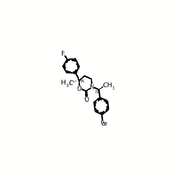 C[C@@H](c1ccc(Br)cc1)N1CC[C@](C)(c2ccc(F)cc2)OC1=O